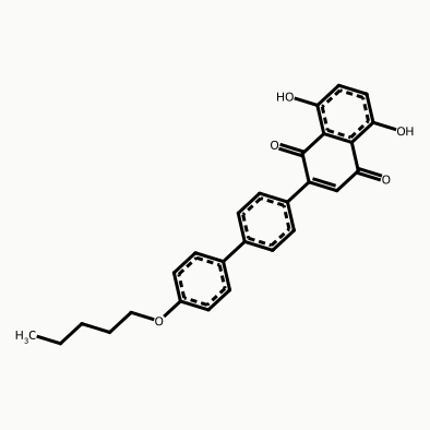 CCCCCOc1ccc(-c2ccc(C3=CC(=O)c4c(O)ccc(O)c4C3=O)cc2)cc1